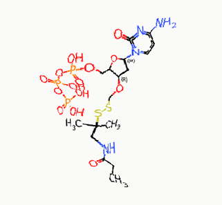 CCC(=O)NCC(C)(C)SSCO[C@@H]1C[C@H](n2ccc(N)nc2=O)OC1COP(=O)(O)OP(=O)(O)OP(=O)(O)O